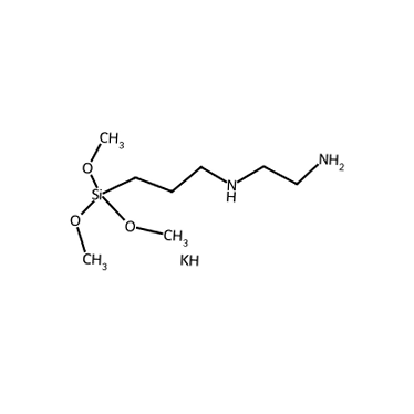 CO[Si](CCCNCCN)(OC)OC.[KH]